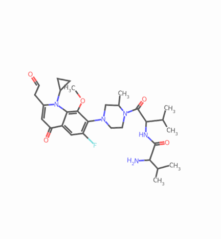 COc1c(N2CCN(C(=O)C(NC(=O)C(N)C(C)C)C(C)C)C(C)C2)c(F)cc2c(=O)cc(CC=O)n(C3CC3)c12